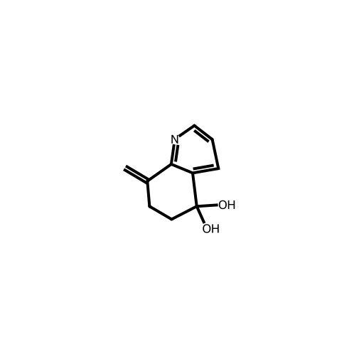 C=C1CCC(O)(O)c2cccnc21